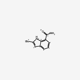 CC(C)(C)c1nc2cccc(C(N)=O)c2[nH]1